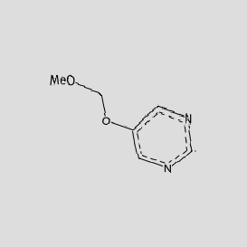 COCOc1cn[c]nc1